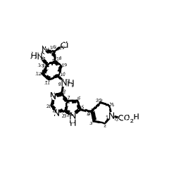 O=C(O)N1CC=C(c2cc3c(Nc4ccc5[nH]nc(Cl)c5c4)ncnc3[nH]2)CC1